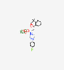 CC1(C)COC(CCN2CCN(c3ccc(F)cc3)CC2)c2ccccc21.Cl.Cl.O